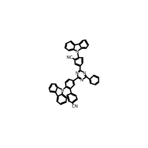 N#Cc1ccc(-c2cc(-c3nc(-c4ccccc4)nc(-c4ccc(-n5c6ccccc6c6ccccc65)c(C#N)c4)n3)ccc2-n2c3ccccc3c3ccccc32)cc1